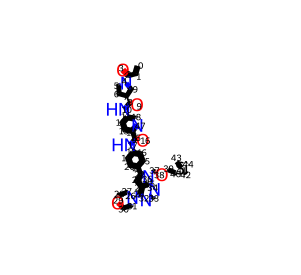 C=CC(=O)N1CC[C@H](C(=O)Nc2ccc(C(=O)Nc3ccc(-c4cc5c(N6CCOCC6)ncnc5n4COCC[Si](C)(C)C)cc3)nc2)C1